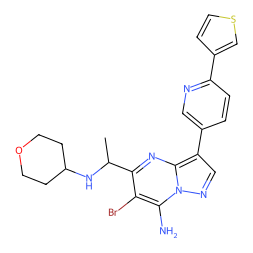 CC(NC1CCOCC1)c1nc2c(-c3ccc(-c4ccsc4)nc3)cnn2c(N)c1Br